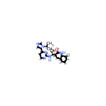 CC(C)n1cncc1-c1ccnc(N[C@@H](C)c2cc3cccc(Cl)c3[nH]c2=O)n1